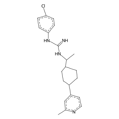 Cc1cc(C2CCC(C(C)NC(=N)Nc3ccc(Cl)cc3)CC2)ccn1